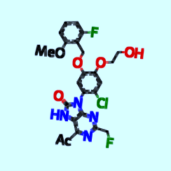 COc1cccc(F)c1COc1cc(-n2c(=O)[nH]c3c(C(C)=O)nc(CF)nc32)c(Cl)cc1OCCO